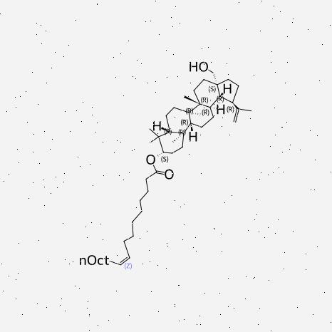 C=C(C)[C@@H]1CC[C@]2(CO)CC[C@]3(C)[C@H](CC[C@@H]4[C@@]5(C)CC[C@H](OC(=O)CCCCCCC/C=C\CCCCCCCC)C(C)(C)[C@@H]5CC[C@]43C)[C@@H]12